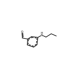 CCCNc1cccc([C]=O)c1